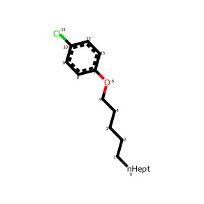 CCCCCCCCCCCCOc1ccc(Cl)cc1